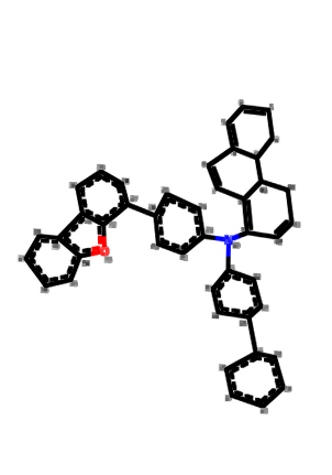 C1=CCC2C(=C1)C=CC1=C(N(c3ccc(-c4ccccc4)cc3)c3ccc(-c4cccc5c4oc4ccccc45)cc3)C=CCC12